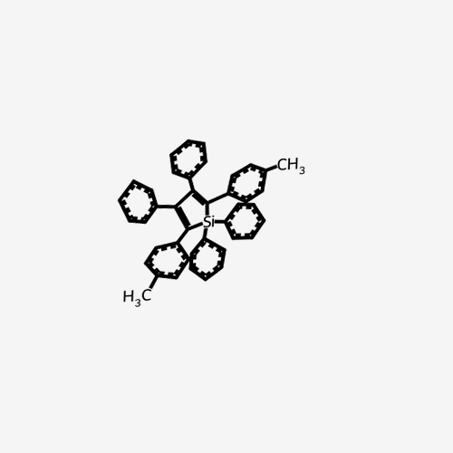 Cc1ccc(C2=C(c3ccccc3)C(c3ccccc3)=C(c3ccc(C)cc3)[Si]2(c2ccccc2)c2ccccc2)cc1